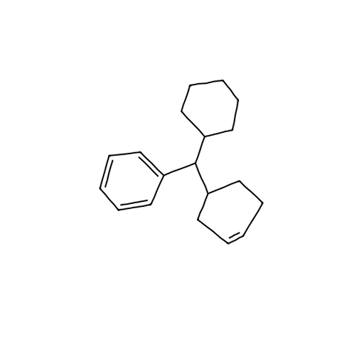 C1=CCC(C(c2ccccc2)C2CCCCC2)CC1